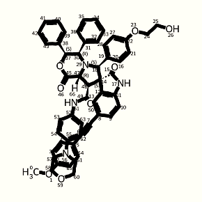 COc1ccc(C#Cc2ccc3c(c2)[C@]2(C(=O)N3)[C@H](c3ccc(OCCO)cc3)N3[C@H](c4ccccc4)[C@H](c4ccccc4)OC(=O)[C@H]3[C@@H]2C(=O)Nc2ccc(N3CCOCC3)cc2)cc1